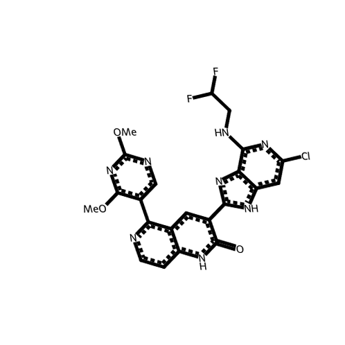 COc1ncc(-c2nccc3[nH]c(=O)c(-c4nc5c(NCC(F)F)nc(Cl)cc5[nH]4)cc23)c(OC)n1